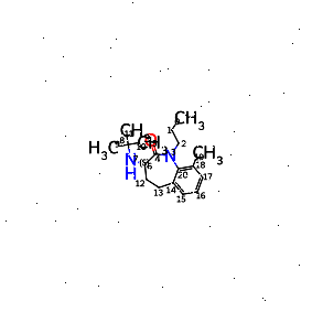 CCCN1C(=O)[C@@H](NC(C)(C)C)CCc2cccc(C)c21